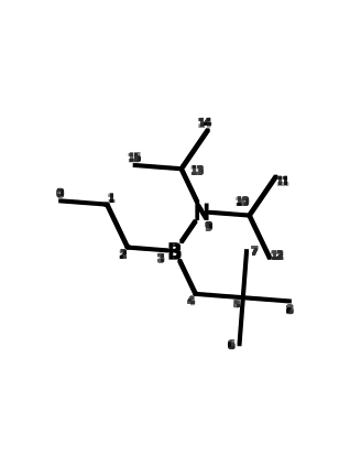 CCCB(CC(C)(C)C)N(C(C)C)C(C)C